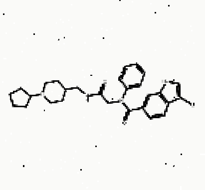 O=C(CN(C(=O)c1ccc2c(Cl)c[nH]c2c1)c1ccccc1)NCC1CCN(C2CCCC2)CC1